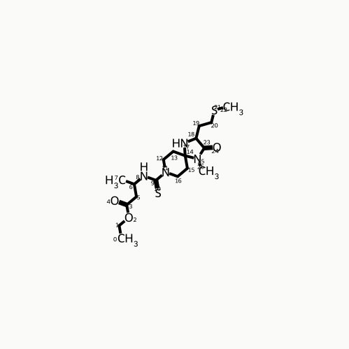 CCOC(=O)CC(C)NC(=S)N1CCC2(CC1)NC(CCSC)C(=O)N2C